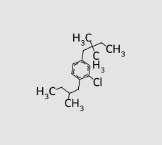 CCC(C)Cc1ccc(CC(C)(C)CC)cc1Cl